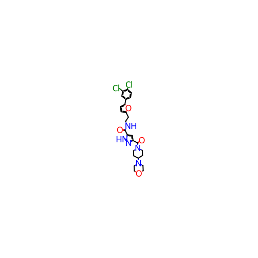 O=C(NCCc1ccc(-c2ccc(Cl)c(Cl)c2)o1)c1cc(C(=O)N2CCC(N3CCOCC3)CC2)n[nH]1